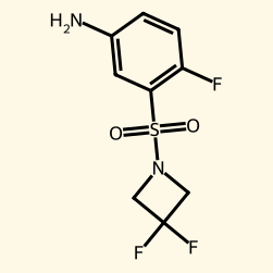 Nc1ccc(F)c(S(=O)(=O)N2CC(F)(F)C2)c1